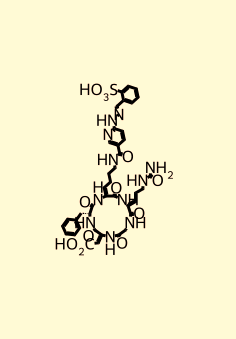 NC(=O)NCC/C=C1\NC(=O)/C(=C\CCCNC(=O)c2ccc(NN=Cc3ccccc3S(=O)(=O)O)nc2)NC(=O)[C@@H](Cc2ccccc2)NC(=O)/C(=C\C(=O)O)NC(=O)CNC1=O